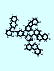 c1ccc2cc3c(cc2c1)c1ccccc1n3-c1ccc(-c2nc(-c3cccc4c3ccc3ccccc34)nc(-c3cccc4c3ccc3ccccc34)n2)c(-c2ccc3c(c2)sc2ccccc23)c1